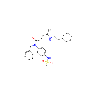 CCC(CCC(=O)N(Cc1ccccc1)c1ccc(NS(C)(=O)=O)cc1)NCCC1CCCCC1